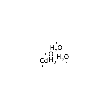 O.O.O.[Cd]